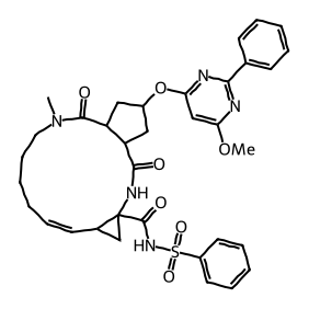 COc1cc(OC2CC3C(=O)NC4(C(=O)NS(=O)(=O)c5ccccc5)CC4C=CCCCCN(C)C(=O)C3C2)nc(-c2ccccc2)n1